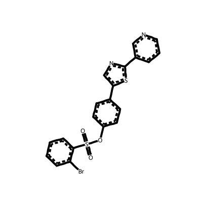 O=S(=O)(Oc1ccc(-c2cnc(-c3cccnc3)s2)cc1)c1ccccc1Br